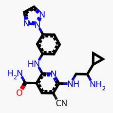 N#Cc1cc(C(N)=O)c(Nc2cccc(-n3nccn3)c2)nc1NCC(N)C1CC1